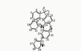 CC1(C)c2ccccc2-c2c1ccc1c2N(c2ccccc2)c2cc(-c3ccccn3)ccc2S1